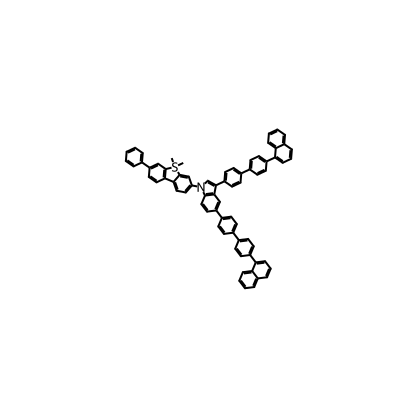 CS1(C)c2cc(-c3ccccc3)ccc2-c2ccc(-n3cc(-c4ccc(-c5ccc(-c6cccc7ccccc67)cc5)cc4)c4cc(-c5ccc(-c6ccc(-c7cccc8ccccc78)cc6)cc5)ccc43)cc21